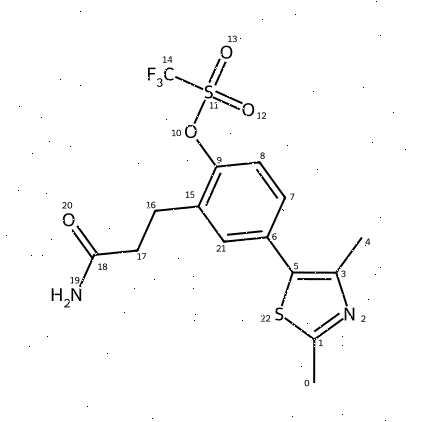 Cc1nc(C)c(-c2ccc(OS(=O)(=O)C(F)(F)F)c(CCC(N)=O)c2)s1